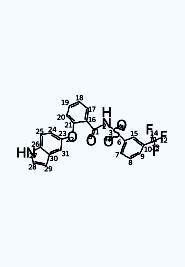 O=C(NS(=O)(=O)c1cccc(C(F)(F)F)c1)c1ccccc1Oc1ccc2[nH]ccc2c1